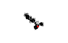 CS(=O)(=O)c1ccc(CN2C(=O)NC3(CCN(CC[C@H](NC(=O)N4CCC(F)(F)C4)c4ccccc4)CC3)C2=O)cc1